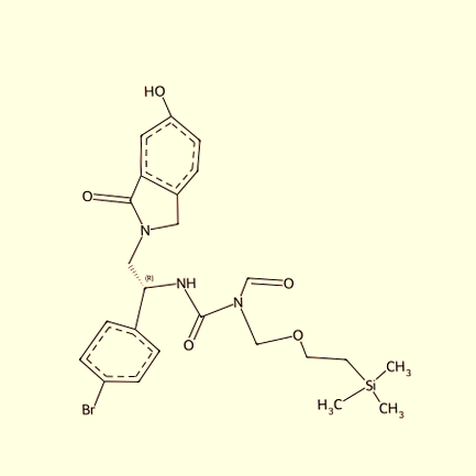 C[Si](C)(C)CCOCN(C=O)C(=O)N[C@@H](CN1Cc2ccc(O)cc2C1=O)c1ccc(Br)cc1